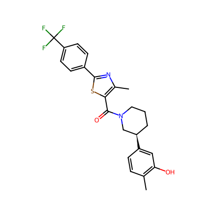 Cc1ccc([C@@H]2CCCN(C(=O)c3sc(-c4ccc(C(F)(F)F)cc4)nc3C)C2)cc1O